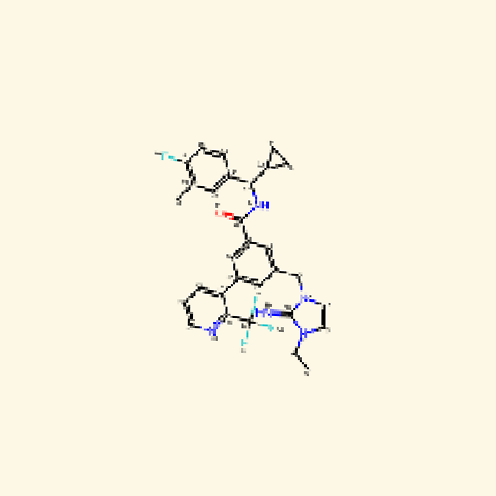 CCn1ccn(Cc2cc(C(=O)NC(c3ccc(F)c(C)c3)C3CC3)cc(-c3cccnc3C(F)(F)F)c2)c1=N